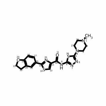 CN1CCN(c2nnc(NC(=O)c3csc(-c4ccc5c(c4)CCO5)n3)s2)CC1